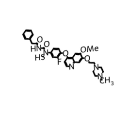 COc1cc2c(Oc3ccc(N(S)C(=O)NC(=O)Cc4ccccc4)cc3F)ccnc2cc1OCCN1CCN(C)CC1